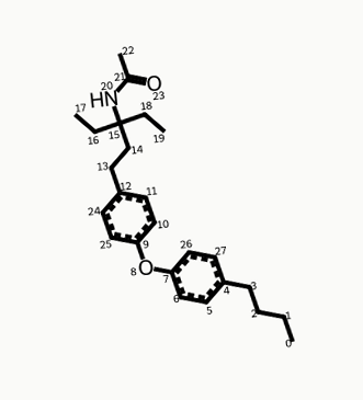 CCCCc1ccc(Oc2ccc(CCC(CC)(CC)NC(C)=O)cc2)cc1